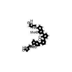 COc1cc(-c2cccc(-c3cccc(-c4cc5c(c(OC)c4)C(NCC4CCC(=O)N4)CC5)c3Cl)c2Cl)cc2c1C(NCC1CCC(=O)N1)CC2